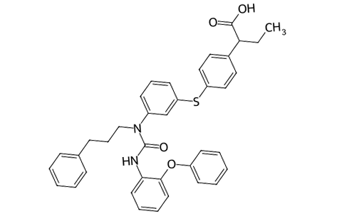 CCC(C(=O)O)c1ccc(Sc2cccc(N(CCCc3ccccc3)C(=O)Nc3ccccc3Oc3ccccc3)c2)cc1